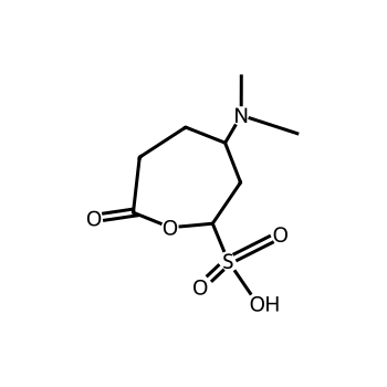 CN(C)C1CCC(=O)OC(S(=O)(=O)O)C1